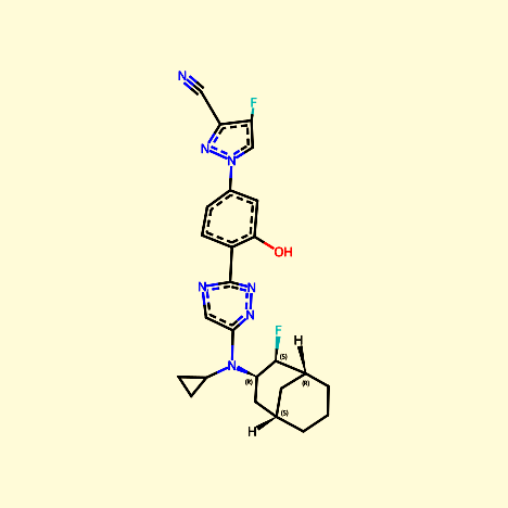 N#Cc1nn(-c2ccc(-c3ncc(N(C4CC4)[C@@H]4C[C@H]5CCC[C@H](C5)[C@@H]4F)nn3)c(O)c2)cc1F